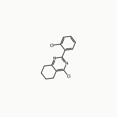 Clc1ccccc1-c1nc(Cl)c2c(n1)CCCC2